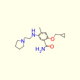 Cc1cc(OCC2CC2)c(C(N)=O)cc1NCCN1CCCC1